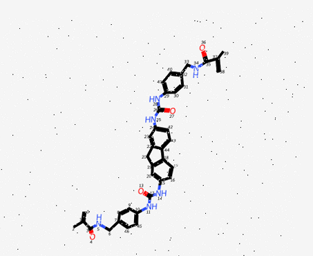 C=C(C)C(=O)NCc1ccc(NC(=O)Nc2ccc3c(c2)Cc2cc(NC(=O)Nc4ccc(CNC(=O)C(=C)C)cc4)ccc2-3)cc1